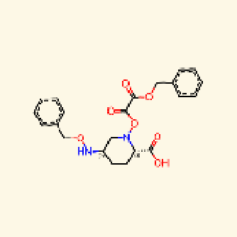 O=C(OCc1ccccc1)C(=O)ON1C[C@H](NOCc2ccccc2)CC[C@H]1C(=O)O